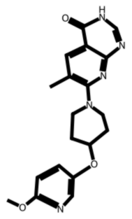 COc1ccc(OC2CCN(c3nc4nc[nH]c(=O)c4cc3C)CC2)cn1